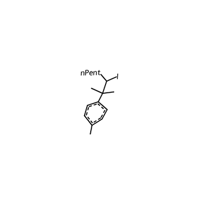 CCCCCC(I)C(C)(C)c1ccc(C)cc1